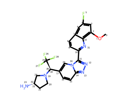 COc1cc(F)cc2ccc(-c3nnc4ccc([C@@H](N5CC[C@H](N)C5)C(F)(F)F)cn34)nc12